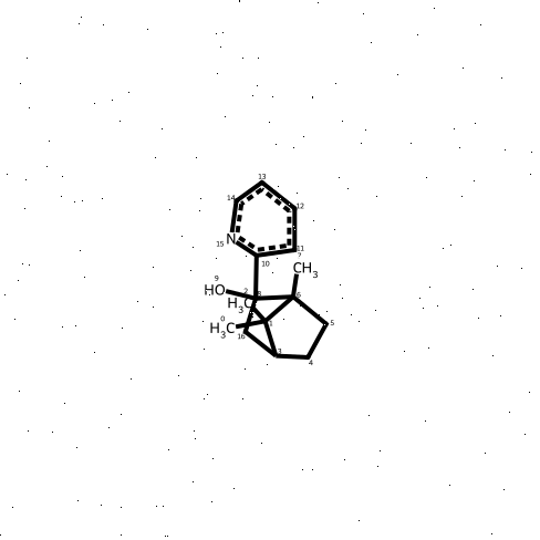 CC1(C)C2CCC1(C)C(O)(c1ccccn1)C2